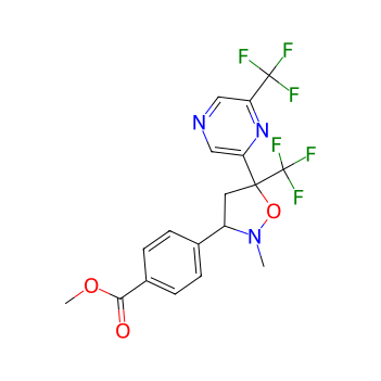 COC(=O)c1ccc(C2CC(c3cncc(C(F)(F)F)n3)(C(F)(F)F)ON2C)cc1